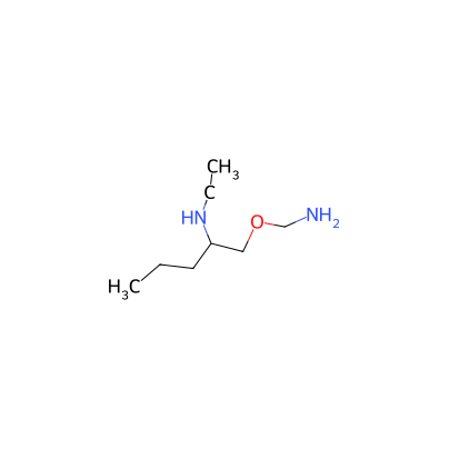 CCCC(COCN)NCC